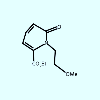 CCOC(=O)c1cccc(=O)n1CCOC